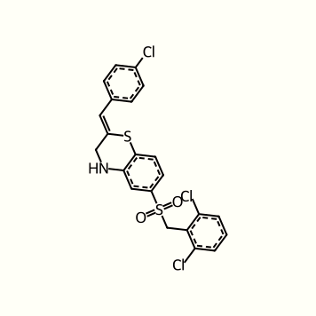 O=S(=O)(Cc1c(Cl)cccc1Cl)c1ccc2c(c1)NCC(=Cc1ccc(Cl)cc1)S2